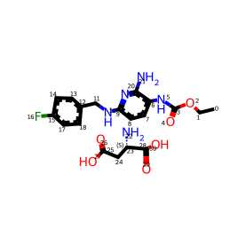 CCOC(=O)Nc1ccc(NCc2ccc(F)cc2)nc1N.N[C@@H](CC(=O)O)C(=O)O